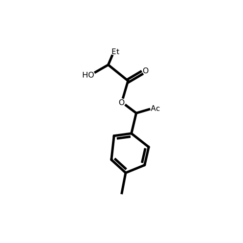 CCC(O)C(=O)OC(C(C)=O)c1ccc(C)cc1